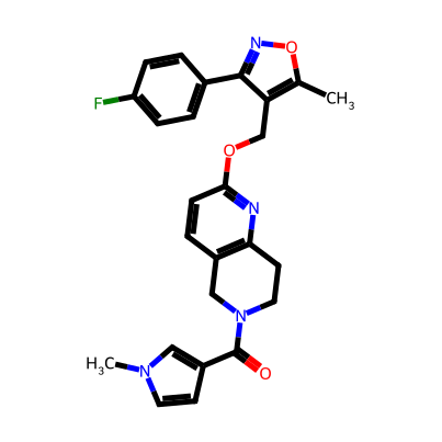 Cc1onc(-c2ccc(F)cc2)c1COc1ccc2c(n1)CCN(C(=O)c1ccn(C)c1)C2